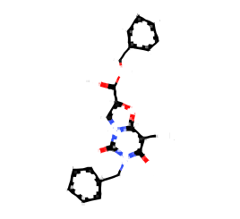 Cc1c(=O)n(Cc2ccccc2)c(=O)n2cc(C(=O)OCc3ccccc3)oc12